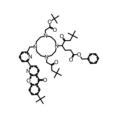 CC(C)(C)CC(=O)CN1CCN(Cc2cccc(-c3ccc4c(=O)c5cc(C(C)(C)C)ccc5oc4n3)n2)CCN(CC(=O)OC(C)(C)C)CCN(C(CCC(=O)OCc2ccccc2)C(=O)CC(C)(C)C)CC1